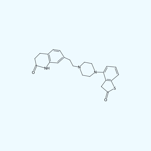 O=C1CCc2ccc(CCN3CCN(c4cccc5c4CC(=O)S5)CC3)cc2N1